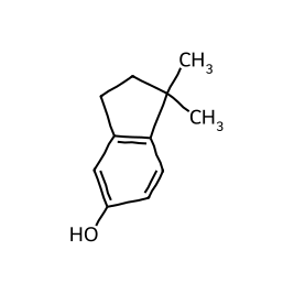 CC1(C)CCc2cc(O)ccc21